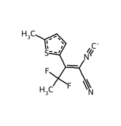 [C-]#[N+]/C(C#N)=C(\c1ccc(C)s1)C(C)(F)F